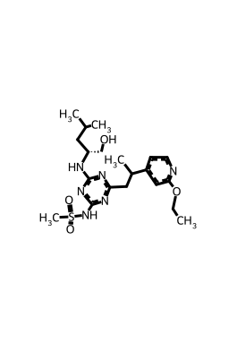 CCOc1cc(C(C)Cc2nc(N[C@@H](CO)CC(C)C)nc(NS(C)(=O)=O)n2)ccn1